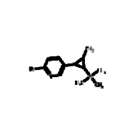 CC(C)c1ccc(C2C(C)C2S(C)(C)C)cn1